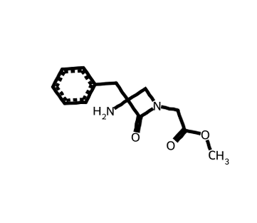 COC(=O)CN1CC(N)(Cc2ccccc2)C1=O